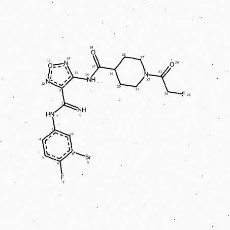 N=C(Nc1ccc(F)c(Br)c1)c1nonc1NC(=O)C1CCN(C(=O)CF)CC1